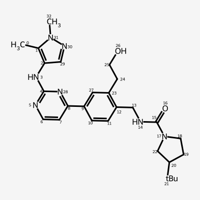 Cc1c(Nc2nccc(-c3ccc(CNC(=O)N4CCC(C(C)(C)C)C4)c(CCO)c3)n2)cnn1C